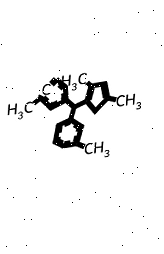 CC1=CC(C)=C(C(c2cccc(C)c2)c2cccc(C)c2)C1